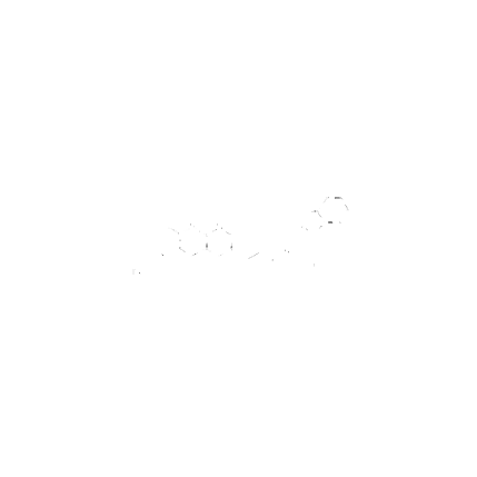 Cc1c(CN(C)C(=O)/C=C/c2cnc3[nH]c(=O)c(N4CCNCC4)cc3c2)oc2ccccc12